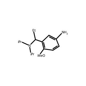 CCC(c1cc(N)ccc1OC)N(C(C)C)C(C)C